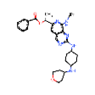 CC(C)Nc1nc([C@@H](C)OC(=O)c2ccccc2)cc2cnc(NC3CCC(NC4CCOCC4)CC3)nc12